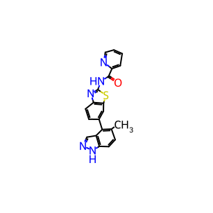 Cc1ccc2[nH]ncc2c1-c1ccc2nc(NC(=O)c3ccccn3)sc2c1